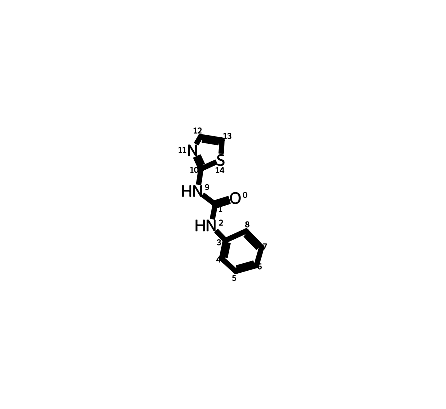 O=C(Nc1ccccc1)Nc1nccs1